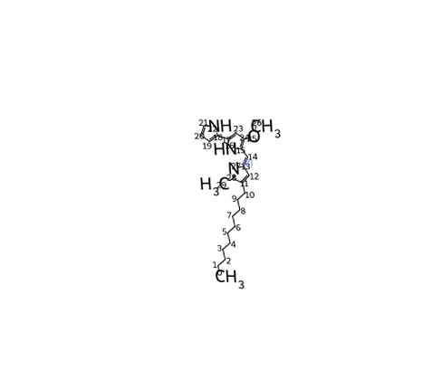 CCCCCCCCCCCC1=C/C(=C/c2[nH]c(-c3ccc[nH]3)cc2OC)N=C1C